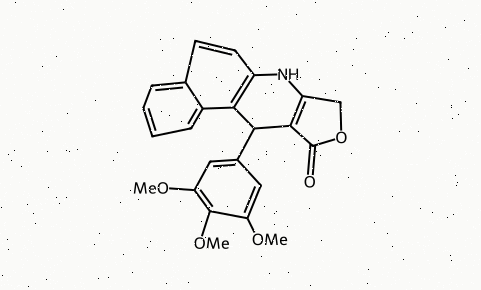 COc1cc(C2C3=C(COC3=O)Nc3ccc4ccccc4c32)cc(OC)c1OC